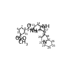 CS(=O)(=O)c1cccc(C(=O)Nc2ccc3[nH]cc(C4=CCN5CCCCC5C4)c3c2)c1